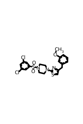 COc1cccc(Cc2csc(N3CCN(S(=O)(=O)c4cc(Cl)cc(Cl)c4)CC3)n2)c1